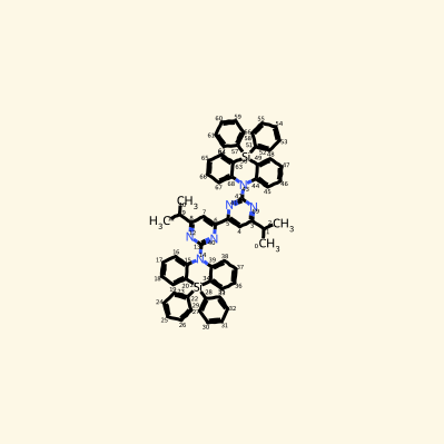 CC(C)c1cc(-c2cc(C(C)C)nc(N3c4ccccc4[Si](c4ccccc4)(c4ccccc4)c4ccccc43)n2)nc(N2c3ccccc3[Si](c3ccccc3)(c3ccccc3)c3ccccc32)n1